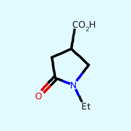 CCN1CC(C(=O)O)CC1=O